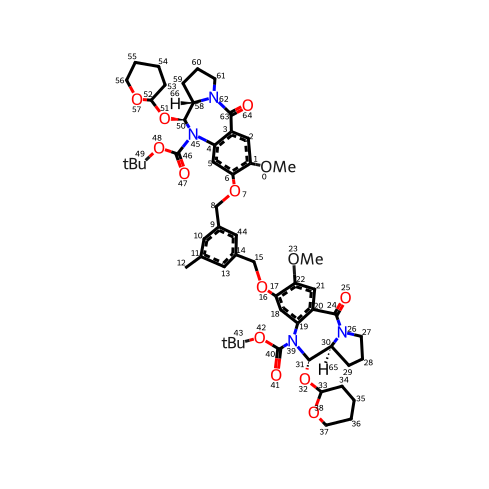 COc1cc2c(cc1OCc1cc(C)cc(COc3cc4c(cc3OC)C(=O)N3CCC[C@H]3[C@H](OC3CCCCO3)N4C(=O)OC(C)(C)C)c1)N(C(=O)OC(C)(C)C)[C@@H](OC1CCCCO1)[C@@H]1CCCN1C2=O